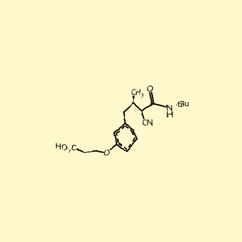 C[C@H](Cc1cccc(OCCC(=O)O)c1)C(C#N)C(=O)NC(C)(C)C